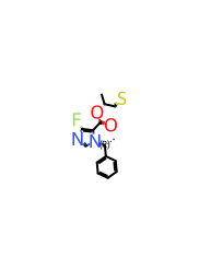 CC(C=S)OC(=O)c1c(F)ncn1[C@H](C)c1ccccc1